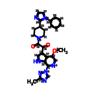 COc1cnc(-n2cnc(C)n2)c2[nH]cc(C(=O)C(=O)N3CCC(c4nccn4-c4ccccc4)CC3)c12